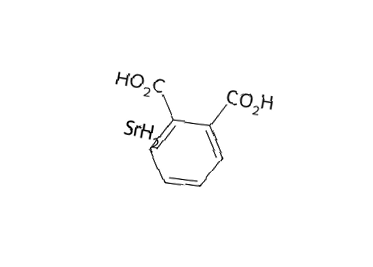 O=C(O)c1ccccc1C(=O)O.[SrH2]